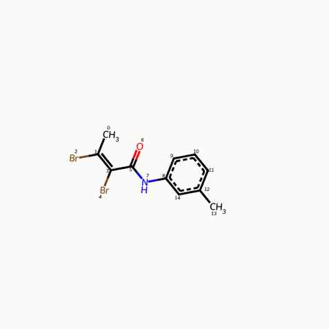 C/C(Br)=C(/Br)C(=O)Nc1cccc(C)c1